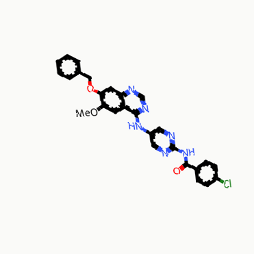 COc1cc2c(Nc3cnc(NC(=O)c4ccc(Cl)cc4)nc3)ncnc2cc1OCc1ccccc1